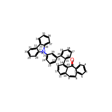 O=c1c2ccccc2ccc2cccc(-c3ccccc3-c3cccc(-n4c5ccccc5c5ccccc54)c3)c12